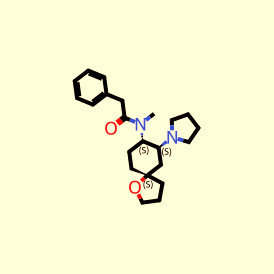 CN(C(=O)Cc1ccccc1)[C@H]1CC[C@]2(CCCO2)C[C@@H]1N1CCCC1